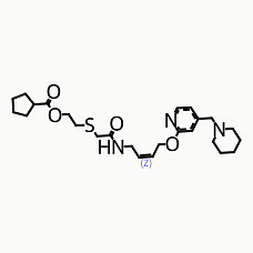 O=C(CSCCOC(=O)C1CCCC1)NC/C=C\COc1cc(CN2CCCCC2)ccn1